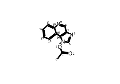 CC(=O)On1cnc2cnc3ccccc3c21